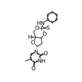 Cc1cn([C@H]2CC3OP(=S)(Nc4ccccc4)OC[C@H]3O2)c(=O)[nH]c1=O